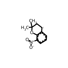 CC1(C)C[C]c2cccc([N+](=O)[O-])c2O1